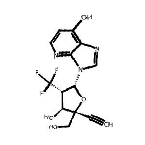 C#C[C@]1(CO)O[C@@H](n2cnc3c(O)ccnc32)[C@@H](C(F)(F)F)[C@@H]1O